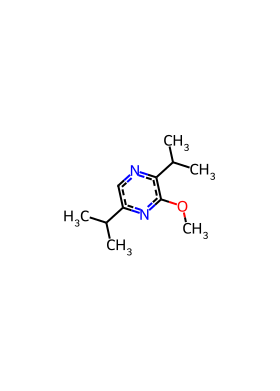 COc1nc(C(C)C)cnc1C(C)C